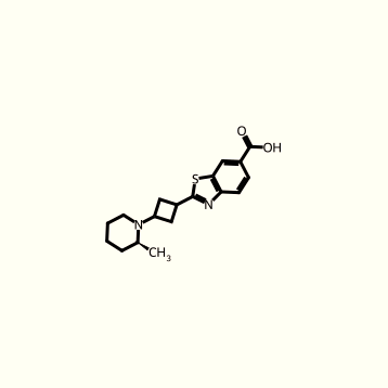 C[C@H]1CCCCN1C1CC(c2nc3ccc(C(=O)O)cc3s2)C1